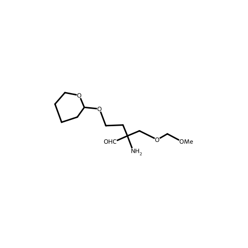 COCOCC(N)(C=O)CCOC1CCCCO1